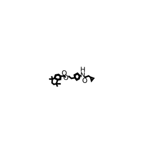 CC1(C)CCC(C)(C)c2cc(C(=O)OCCc3ccc(NC(=O)CC4CC4)cc3)ccc21